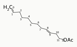 C=CCCCCCCC=CCCOC(C)=O